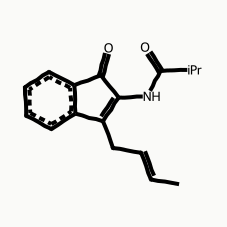 CC=CCC1=C(NC(=O)C(C)C)C(=O)c2ccccc21